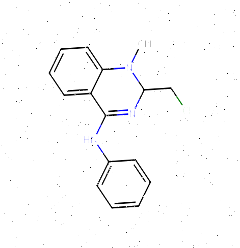 CN1c2ccccc2C(Nc2ccccc2)=NC1CCl